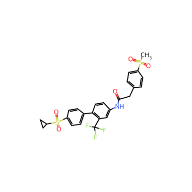 CS(=O)(=O)c1ccc(CC(=O)Nc2ccc(-c3ccc(S(=O)(=O)C4CC4)cc3)c(C(F)(F)F)c2)cc1